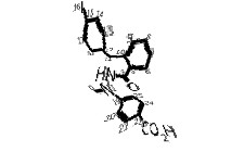 CN(NC(=O)c1ccccc1Cc1ccc(I)cc1)c1ccc(C(=O)O)cc1